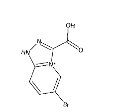 O=C(O)c1n[nH]c2ccc(Br)c[n+]12